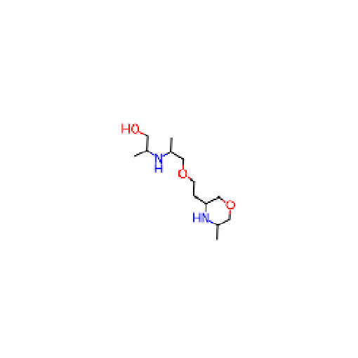 CC(CO)NC(C)COCCC1COCC(C)N1